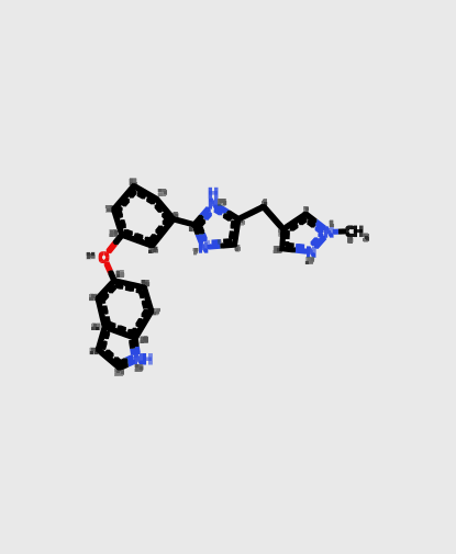 Cn1cc(Cc2cnc(-c3cccc(Oc4ccc5[nH]ccc5c4)c3)[nH]2)cn1